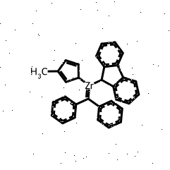 CC1=C[CH]([Zr](=[C](c2ccccc2)c2ccccc2)[CH]2c3ccccc3-c3ccccc32)C=C1